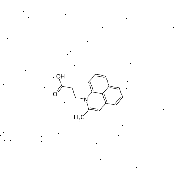 CC1=Cc2cccc3cccc(c23)N1CCC(=O)O